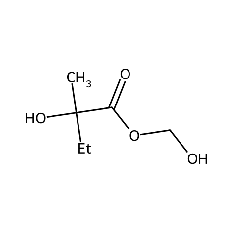 CCC(C)(O)C(=O)OCO